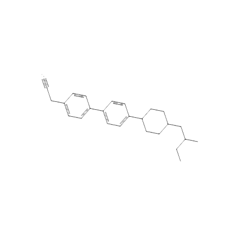 CCC(C)CC1CCC(c2ccc(-c3ccc(CC#N)cc3)cc2)CC1